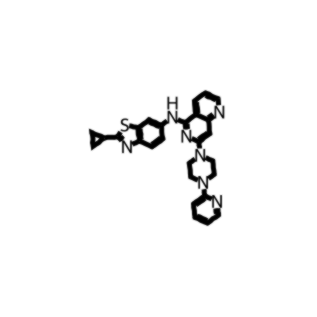 c1ccc(N2CCN(c3cc4ncccc4c(Nc4ccc5nc(C6CC6)sc5c4)n3)CC2)nc1